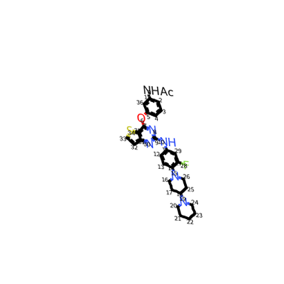 CC(=O)Nc1cccc(Oc2nc(Nc3ccc(N4CCC(N5CCCCC5)CC4)c(F)c3)nc3ccsc23)c1